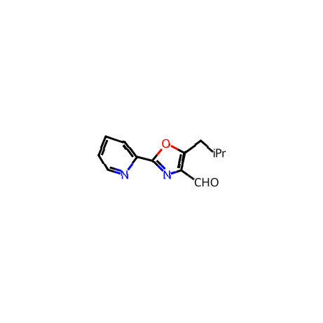 CC(C)Cc1oc(-c2ccccn2)nc1C=O